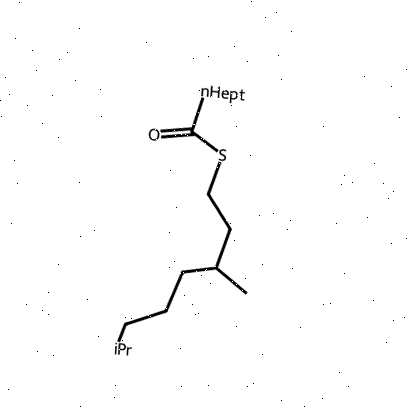 CCCCCCCC(=O)SCCC(C)CCCC(C)C